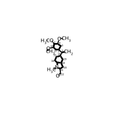 C=C(c1cc(OC)c(OC)c(OC)c1)c1ccc2c(c1)cc(C=O)n2C